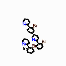 Brc1ccccc1-c1ccccn1.Brc1ccccc1-c1ccccn1.Brc1ccccc1-c1ccccn1.[Ir]